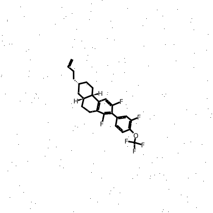 C=CCC[C@@H]1CC[C@@H]2c3cc(F)c(-c4ccc(OC(F)(F)F)c(F)c4)c(F)c3CC[C@@H]2C1